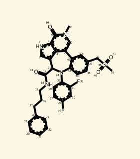 Cn1cc2c3c(c[nH]c3c1=O)C(C(=O)NCCCc1ccccc1)N(c1ccc(F)cc1F)c1ccc(CS(C)(=O)=O)cc1-2